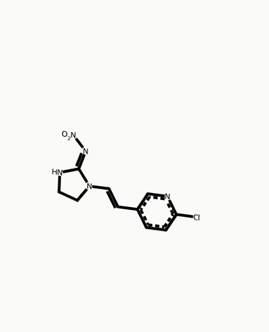 O=[N+]([O-])/N=C1\NCCN1/C=C/c1ccc(Cl)nc1